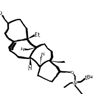 CC[C@]12CCC(O)CC1=CC[C@@H]1[C@H]2CC[C@]2(C)C(O[Si](C)(C)C(C)(C)C)CC[C@@H]12